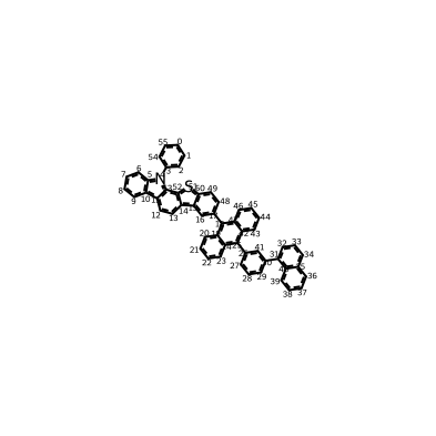 c1ccc(-n2c3ccccc3c3ccc4c5cc(-c6c7ccccc7c(-c7cccc(-c8cccc9ccccc89)c7)c7ccccc67)ccc5sc4c32)cc1